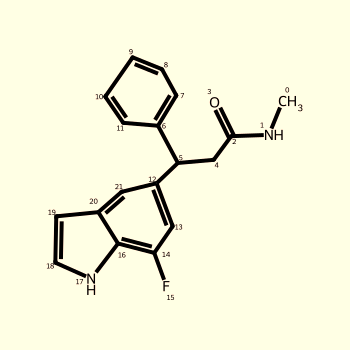 CNC(=O)CC(c1ccccc1)c1cc(F)c2[nH]ccc2c1